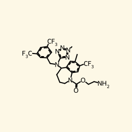 Cc1cc2c(cc1C(F)(F)F)N(C(=O)OCCN)CCCC2N(Cc1cc(C(F)(F)F)cc(C(F)(F)F)c1)c1nnn(C)n1